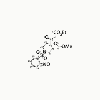 CCOC(=O)CC(=O)C1(OCOC)CCN(S(=O)(=O)c2ccccc2N=O)CC1